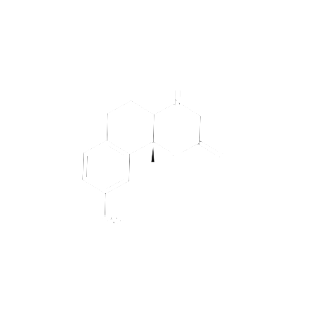 COc1ccc2c(c1)[C@H]1OC(=O)CN[C@@H]1CC2